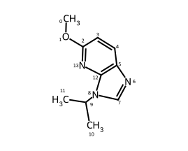 COc1ccc2ncn(C(C)C)c2n1